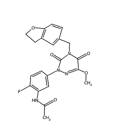 COc1nn(-c2ccc(F)c(NC(C)=O)c2)c(=O)n(Cc2ccc3c(c2)CCO3)c1=O